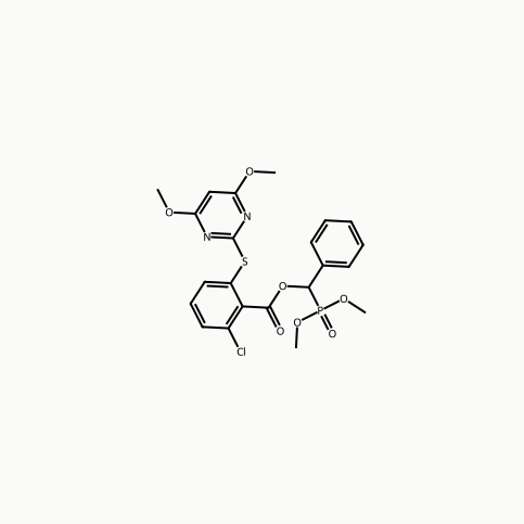 COc1cc(OC)nc(Sc2cccc(Cl)c2C(=O)OC(c2ccccc2)P(=O)(OC)OC)n1